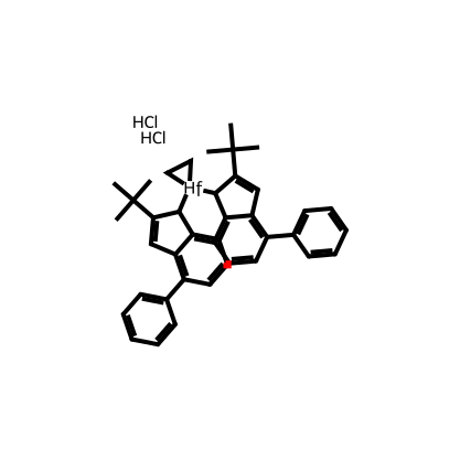 CC(C)(C)C1=Cc2c(-c3ccccc3)cccc2[CH]1[Hf]1([CH]2C(C(C)(C)C)=Cc3c(-c4ccccc4)cccc32)[CH2][CH2]1.Cl.Cl